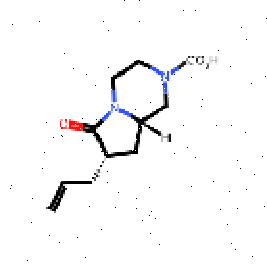 C=CC[C@H]1C[C@H]2CN(C(=O)O)CCN2C1=O